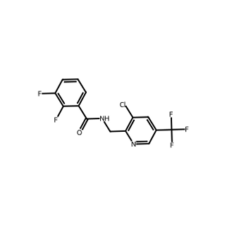 O=C(NCc1ncc(C(F)(F)F)cc1Cl)c1cccc(F)c1F